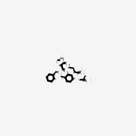 Cn1cnc2c(N(Cc3ccccc3)Cc3ccccc3)nc(CCC3(C)OCC(C)(C)CO3)nc21